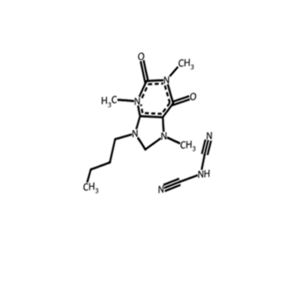 CCCCN1CN(C)c2c1n(C)c(=O)n(C)c2=O.N#CNC#N